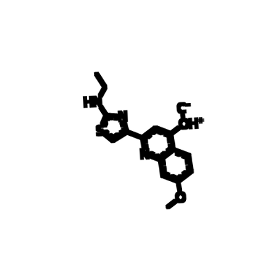 [CH2-][OH+]c1cc(-c2csc(NCC)n2)nc2cc(OC)ccc12